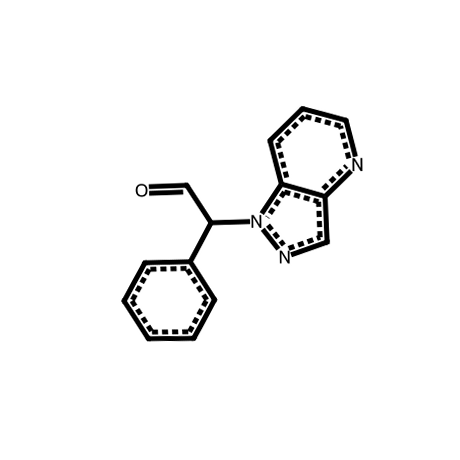 O=CC(c1ccccc1)n1ncc2ncccc21